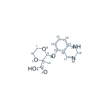 CC1(C(=O)O)OCCOC1Oc1cccc2c1C=NCN2